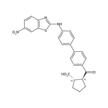 O=C(O)[C@H]1CCC[C@@H]1C(=O)c1ccc(-c2ccc(Nc3nc4ccc([N+](=O)[O-])cc4s3)cc2)cc1